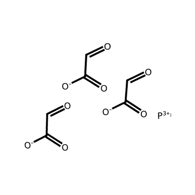 O=CC(=O)[O-].O=CC(=O)[O-].O=CC(=O)[O-].[P+3]